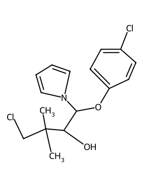 CC(C)(CCl)C(O)C(Oc1ccc(Cl)cc1)n1cccc1